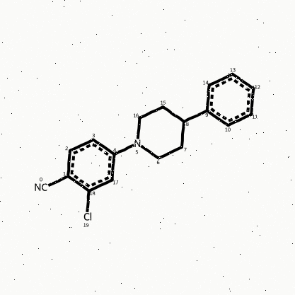 N#Cc1ccc(N2CCC(c3cc[c]cc3)CC2)cc1Cl